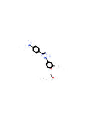 COC(=O)COc1ccc(-c2nc(-c3ccc(C(=N)N)cc3)c[nH]2)cc1C